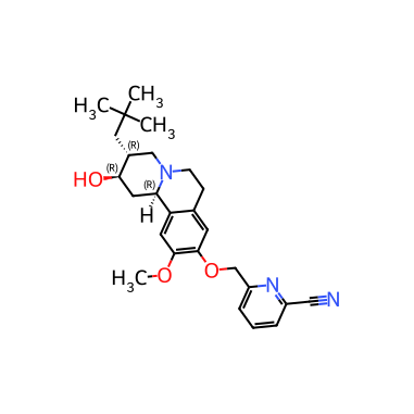 COc1cc2c(cc1OCc1cccc(C#N)n1)CCN1C[C@@H](CC(C)(C)C)[C@H](O)C[C@H]21